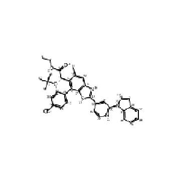 CCOC(=O)[C@@H](OC(C)(C)C)c1c(C)cc2nc(-c3ccnc(-n4ncc5ccccc54)c3)sc2c1-c1ccc(Cl)cc1